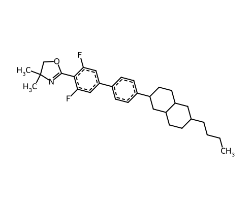 CCCCC1CCC2CC(c3ccc(-c4cc(F)c(C5=NC(C)(C)CO5)c(F)c4)cc3)CCC2C1